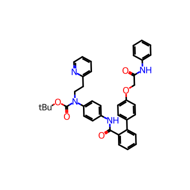 CC(C)(C)OC(=O)N(CCc1ccccn1)c1ccc(NC(=O)c2ccccc2-c2ccc(OCC(=O)Nc3ccccc3)cc2)cc1